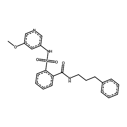 COc1cncc(NS(=O)(=O)c2ccccc2C(=O)NCCCc2ccccc2)c1